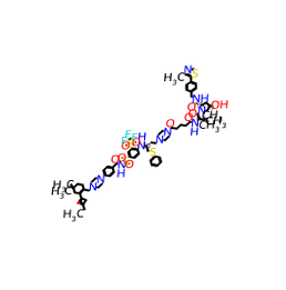 CCC12CC(C3=C(CN4CCN(c5ccc(C(=O)NS(=O)(=O)c6ccc(N[C@H](CCN7CCN(C(=O)CCCC(=O)N[C@H](C(=O)N8C[C@H](O)C[C@H]8C(=O)NCc8ccc(-c9scnc9C)cc8)C(C)(C)C)CC7)CSc7ccccc7)c(S(=O)(=O)C(F)(F)F)c6)cc5)CC4)CCC(C)(C)C3)(C1)C2